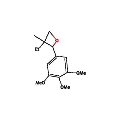 CCC1(C)COC1c1cc(OC)c(OC)c(OC)c1